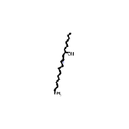 CCCCCCC(O)C/C=C/CCCCCCCCN